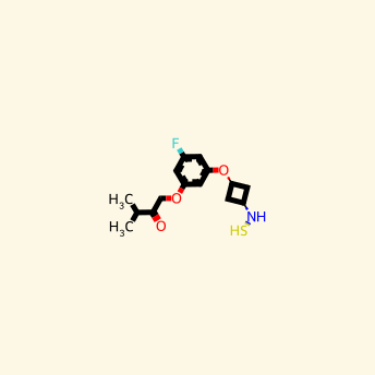 CC(C)C(=O)COc1cc(F)cc(O[C@H]2C[C@@H](NS)C2)c1